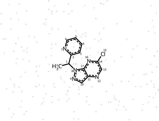 CC(c1ccccn1)n1ncc2ncc(Cl)nc21